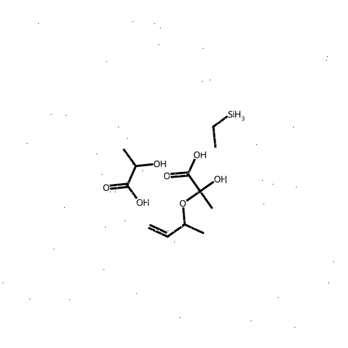 C=CC(C)OC(C)(O)C(=O)O.CC(O)C(=O)O.CC[SiH3]